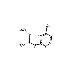 CCCc1cccc(O[C@H](C)CNC)c1